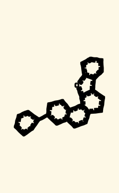 c1ccc(-c2ccc3c(ccc4ccc5c6ccccc6oc5c43)c2)cc1